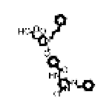 O=C(O)C[C@@H]1C[C@@H](COc2ccc(C(=O)Nc3cc(Cl)nc(NCc4ccccc4)c3)cc2)N(CCCc2ccccc2)C1=O